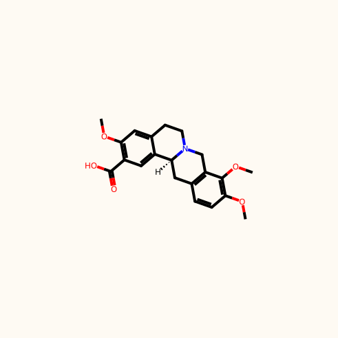 COc1cc2c(cc1C(=O)O)[C@@H]1Cc3ccc(OC)c(OC)c3CN1CC2